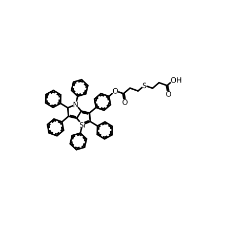 O=C(O)CCSCCC(=O)Oc1ccc(C2=C3C(=C(c4ccccc4)C(c4ccccc4)N3c3ccccc3)[Si](c3ccccc3)=C2c2ccccc2)cc1